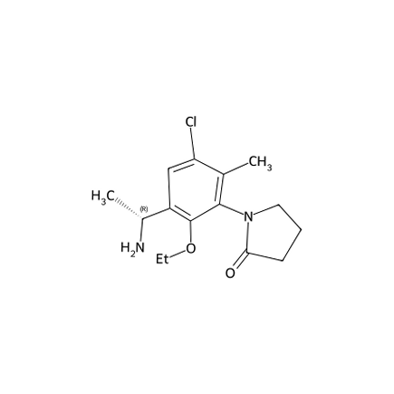 CCOc1c([C@@H](C)N)cc(Cl)c(C)c1N1CCCC1=O